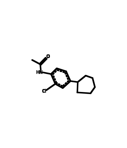 CC(=O)Nc1ccc(C2CCCCC2)cc1Cl